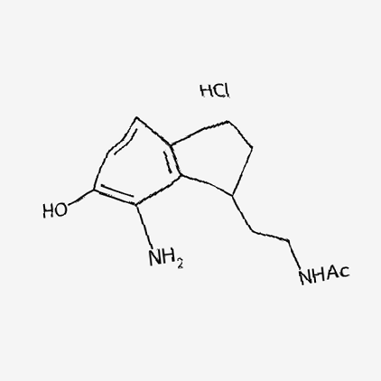 CC(=O)NCCC1CCc2ccc(O)c(N)c21.Cl